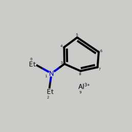 CCN(CC)c1ccccc1.[Al+3]